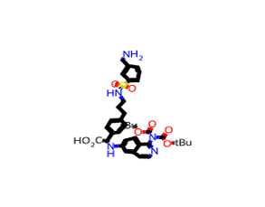 CC(C)(C)OC(=O)N(C(=O)OC(C)(C)C)c1nccc2cc(NC(C(=O)O)c3ccc(CCCNS(=O)(=O)c4cccc(CN)c4)cc3)ccc12